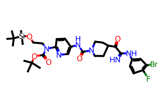 CC(C)(C)OC(=O)N(CCO[Si](C)(C)C(C)(C)C)c1ccc(NC(=O)N2CCC(C(=O)C(=N)Nc3ccc(F)c(Br)c3)CC2)cn1